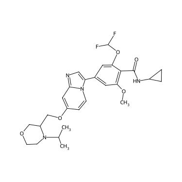 COc1cc(-c2cnc3cc(OCC4COCCN4C(C)C)ccn23)cc(OC(F)F)c1C(=O)NC1CC1